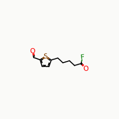 O=Cc1ccc(CCCCC(=O)F)s1